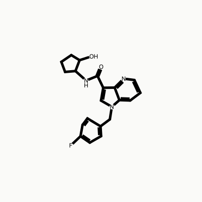 O=C(NC1CCCC1O)c1cn(Cc2ccc(F)cc2)c2cccnc12